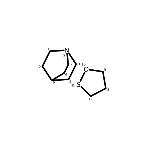 C1CN2CCC1CC2.C1COSC1